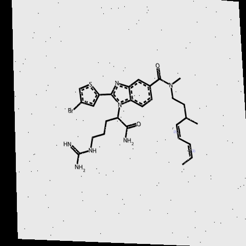 C/C=C\C=C/C(C)CCN(C)C(=O)c1ccc2c(c1)nc(-c1cc(Br)cs1)n2C(CCCNC(=N)N)C(N)=O